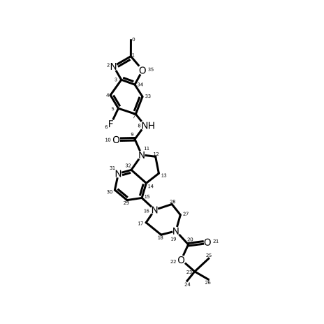 Cc1nc2cc(F)c(NC(=O)N3CCc4c(N5CCN(C(=O)OC(C)(C)C)CC5)ccnc43)cc2o1